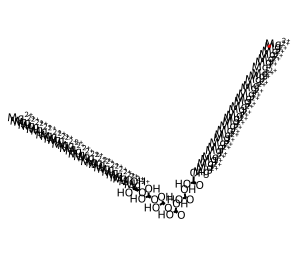 O=C(O)O.O=C(O)O.O=C(O)O.O=C(O)O.O=C(O)O.O=C(O)O.[Mg+2].[Mg+2].[Mg+2].[Mg+2].[Mg+2].[Mg+2].[Mg+2].[Mg+2].[Mg+2].[Mg+2].[Mg+2].[Mg+2].[Mg+2].[Mg+2].[Mg+2].[Mg+2].[Mg+2].[Mg+2].[Mg+2].[Mg+2].[Mg+2].[Mg+2].[Mg+2].[Mg+2].[Mg+2].[Mg+2].[Mg+2].[Mg+2].[Mg+2].[Mg+2].[Mg+2].[Mg+2].[Mg+2].[Mg+2].[Mg+2].[Mg+2].[Mg+2].[Mg+2].[Mg+2].[Mg+2].[Mg+2].[Mg+2].[Mg+2].[Mg+2].[Mg+2].[Mg+2].[Mg+2].[Mg+2].[Mg+2].[Mg+2].[Mg+2].[Mg+2].[Mg+2].[Mg+2].[Mg+2].[Mg+2].[Mg+2].[Mg+2].[Mg+2].[Mg+2].[Mg+2]